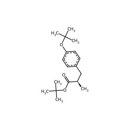 C[C@H](Cc1ccc(OC(C)(C)C)cc1)C(=O)OC(C)(C)C